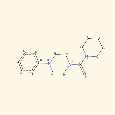 O=C(N1CCCCC1)N1CCN(c2cc[c]cc2)CC1